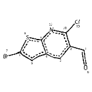 O=Cc1cc2cc(Br)sc2nc1Cl